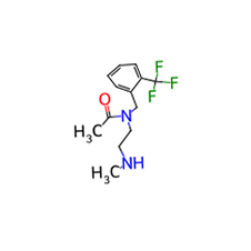 CNCCN(Cc1ccccc1C(F)(F)F)C(C)=O